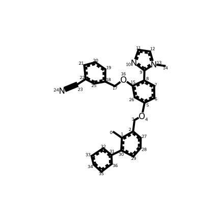 Cc1c(COc2ccc(-c3nccn3C)c(OCc3cccc(C#N)c3)c2)cccc1-c1ccccc1